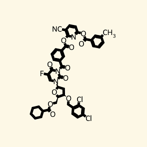 Cc1cccc(C(=O)Oc2ccc(C#N)c(OC(=O)c3cccc(C(=O)n4c(=O)c(F)cn([C@H]5C[C@H](OCc6ccc(Cl)cc6Cl)[C@@H](COC(=O)C6CCCCC6)O5)c4=O)c3)n2)c1